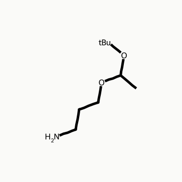 CC(OCCCN)OC(C)(C)C